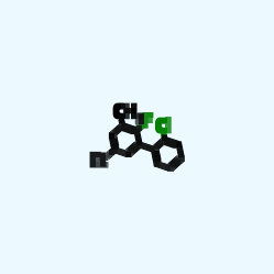 CCc1cc(C)c(F)c(-c2ccccc2Cl)c1